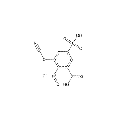 N#COc1cc(S(=O)(=O)O)cc(C(=O)O)c1[N+](=O)[O-]